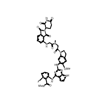 CNC(=O)c1c(F)cccc1Nc1nc(Nc2cc3c(cc2OC)CCN3C(=O)CN(C)C(=O)CNc2cccc3c2C(=O)N(C2CCC(=O)NC2=O)C3=O)nc2[nH]ccc12